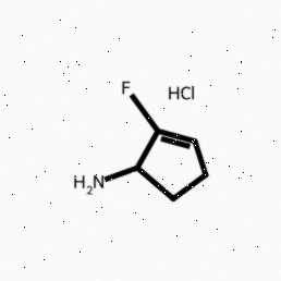 Cl.NC1CCC=C1F